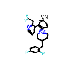 N#Cc1ccc(N2CCC(Cc3ccc(F)cc3F)CC2)c(-c2cccnc2CC(F)F)c1